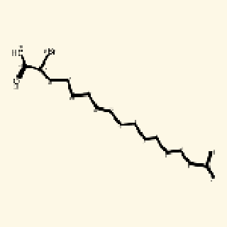 CC(C)CCCCCCCCCCCCCC(Br)C(=O)O